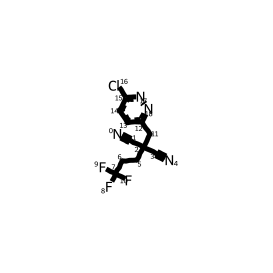 N#CC(C#N)(CCC(F)(F)F)Cc1ccc(Cl)nn1